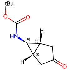 CC(C)(C)OC(=O)N[C@H]1[C@@H]2CC(=O)C[C@@H]21